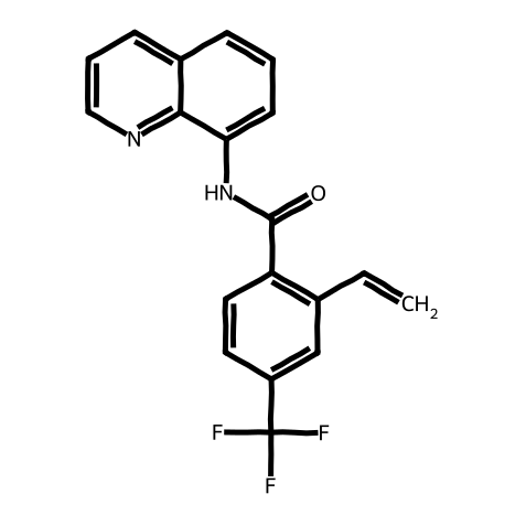 C=Cc1cc(C(F)(F)F)ccc1C(=O)Nc1cccc2cccnc12